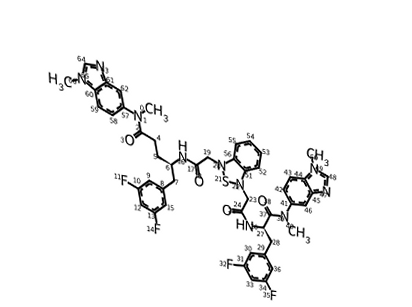 CN(C(=O)CC[C@H](Cc1cc(F)cc(F)c1)NC(=O)CN1SN(CC(=O)N[C@H](Cc2cc(F)cc(F)c2)C(=O)N(C)c2ccc3c(c2)ncn3C)c2ccccc21)c1ccc2c(c1)ncn2C